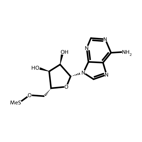 CSOC[C@H]1O[C@@H](n2cnc3c(N)ncnc32)[C@H](O)[C@@H]1O